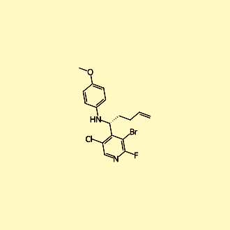 C=CCC[C@@H](Nc1ccc(OC)cc1)c1c(Cl)cnc(F)c1Br